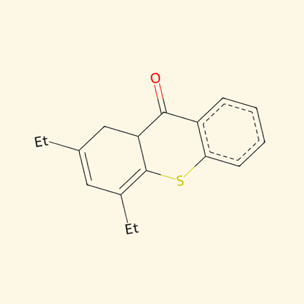 CCC1=CC(CC)=C2Sc3ccccc3C(=O)C2C1